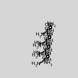 COc1ccc(NC(=O)[C@@H](CCCN)NC(=O)c2cc(NC(=O)[C@@H](CCCNC(=N)N)NC(=O)c3cc(NC(=O)[C@@H](CCCNC(=N)N)NC(=O)c4cc(NC(=O)[C@H](N)CCCCN)ccc4OC)ccc3OC)ccc2OC)cc1C(N)=O